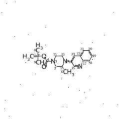 C[C@H]1CN(C(=O)OC(C)(C)C)CCN1c1cnc2ccccc2c1